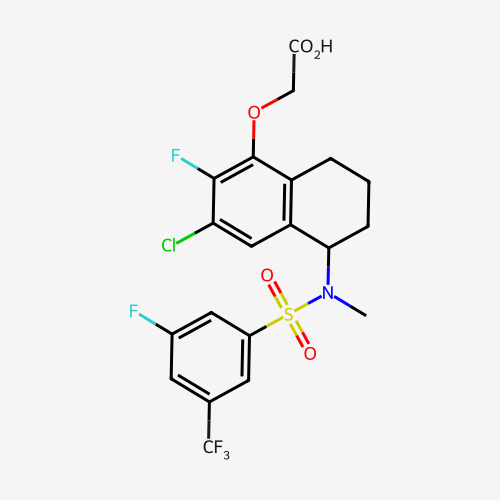 CN(C1CCCc2c1cc(Cl)c(F)c2OCC(=O)O)S(=O)(=O)c1cc(F)cc(C(F)(F)F)c1